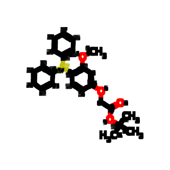 COc1cc(OCC(=O)OC(C)(C)C)ccc1[S+](c1ccccc1)c1ccccc1